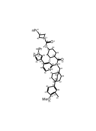 CCCC1CN(C(=O)OC2CCC(C(=O)N(CC34CCC(c5ccc(OC)c(C)c5)(CC3)CC4)c3cc(-c4cnn(C(C)C)c4)ccn3)CC2)C1